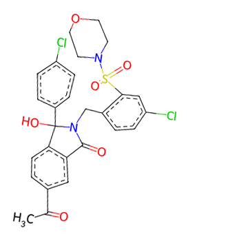 CC(=O)c1ccc2c(c1)C(=O)N(Cc1ccc(Cl)cc1S(=O)(=O)N1CCOCC1)C2(O)c1ccc(Cl)cc1